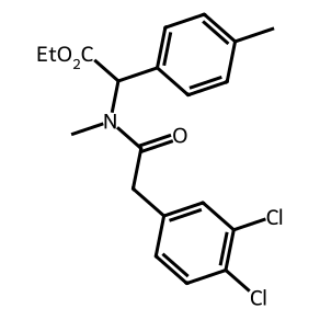 CCOC(=O)C(c1ccc(C)cc1)N(C)C(=O)Cc1ccc(Cl)c(Cl)c1